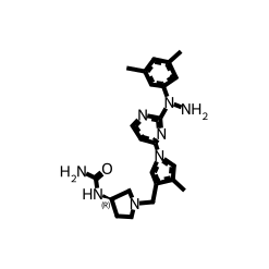 Cc1cc(C)cc(N(N)c2nccc(-n3cc(C)c(CN4CC[C@@H](NC(N)=O)C4)c3)n2)c1